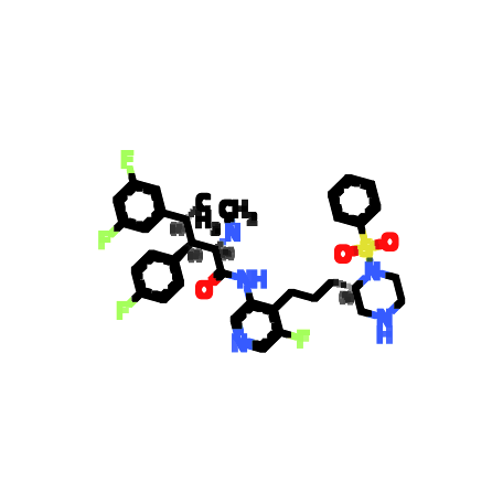 C=N[C@H](C(=O)Nc1cncc(F)c1CCC[C@H]1CNCCN1S(=O)(=O)c1ccccc1)[C@@H](c1ccc(F)cc1)[C@@H](C)c1cc(F)cc(F)c1